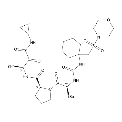 CCC[C@H](NC(=O)[C@@H]1CCCN1C(=O)[C@@H](NC(=O)NC1(CS(=O)(=O)N2CCOCC2)CCCCC1)C(C)(C)C)C(=O)C(=O)NC1CC1